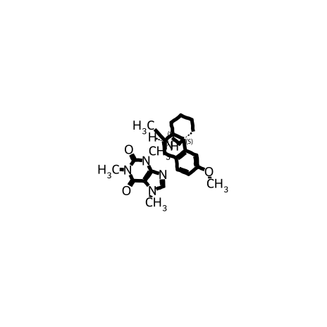 COc1ccc2c(c1)[C@]13CCCC[C@@H]1[C@H](C2)N(C)CC3.Cn1c(=O)c2c(ncn2C)n(C)c1=O